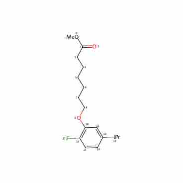 COC(=O)CCCCCCOc1cc(C(C)C)ccc1F